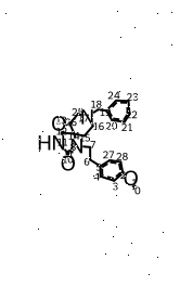 COc1ccc(CCN2C(=O)NC(=O)C23CCN(Cc2ccccc2)CC3)cc1